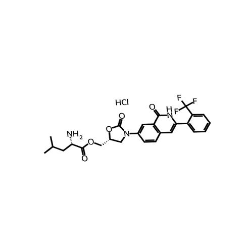 CC(C)C[C@H](N)C(=O)OC[C@H]1CN(c2ccc3cc(-c4ccccc4C(F)(F)F)[nH]c(=O)c3c2)C(=O)O1.Cl